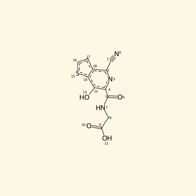 N#Cc1nc(C(=O)NCC(=O)O)c(O)c2sccc12